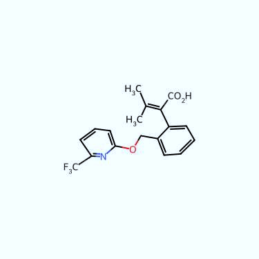 CC(C)=C(C(=O)O)c1ccccc1COc1cccc(C(F)(F)F)n1